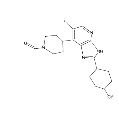 O=CN1CCC(c2c(F)cnc3[nH]c(C4CCC(O)CC4)nc23)CC1